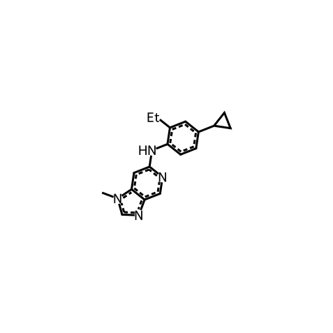 CCc1cc(C2CC2)ccc1Nc1cc2c(cn1)ncn2C